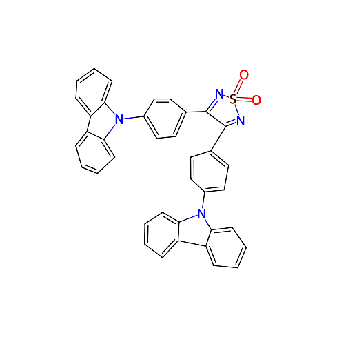 O=S1(=O)N=C(c2ccc(-n3c4ccccc4c4ccccc43)cc2)C(c2ccc(-n3c4ccccc4c4ccccc43)cc2)=N1